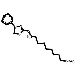 CCCCCCCCCCCCCCCCCCNSC1=NN(c2ccccc2)CS1